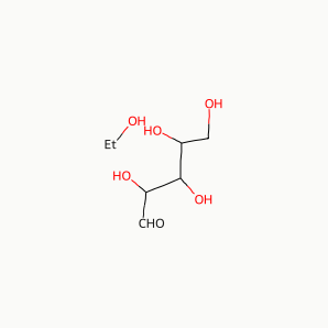 CCO.O=CC(O)C(O)C(O)CO